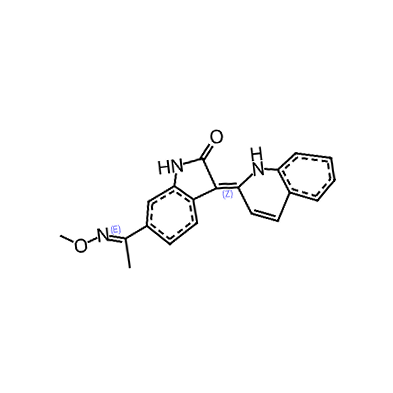 CO/N=C(\C)c1ccc2c(c1)NC(=O)/C2=C1/C=Cc2ccccc2N1